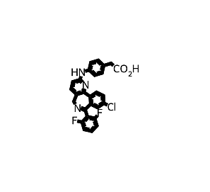 O=C(O)Cc1ccc(Nc2ccc3c(n2)-c2ccc(Cl)cc2C(c2c(F)cccc2F)=NC3)cc1